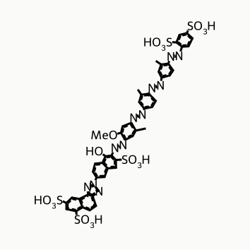 COc1cc(N=Nc2ccc(N=Nc3ccc(N=Nc4ccc(S(=O)(=O)O)cc4S(=O)(=O)O)c(C)c3)c(C)c2)c(C)cc1N=Nc1c(S(=O)(=O)O)cc2cc(-n3nc4ccc5c(S(=O)(=O)O)cc(S(=O)(=O)O)cc5c4n3)ccc2c1O